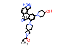 C=CC(=O)N1CC2(CCN(c3cc(N4CCC(O)CC4)cc(-c4c(C)ccc5[nH]ncc45)c3C#N)CC2)C1